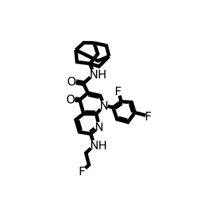 O=C(NC12CC3CC(CC(C3)C1)C2)c1cn(-c2ccc(F)cc2F)c2nc(NCCF)ccc2c1=O